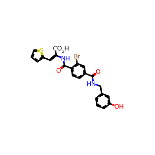 O=C(O)C(=Cc1cccs1)NC(=O)c1ccc(C(=O)NCc2cccc(O)c2)cc1Br